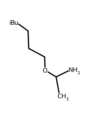 CCC(C)CCCOC(C)N